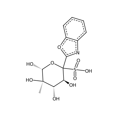 C[C@]1(O)[C@H](O)OC(c2nc3ccccc3o2)(S(=O)(=O)O)[C@@H](O)[C@@H]1O